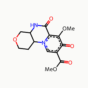 COC(=O)c1cn2c(c(OC)c1=O)C(=O)NC1COCCC12